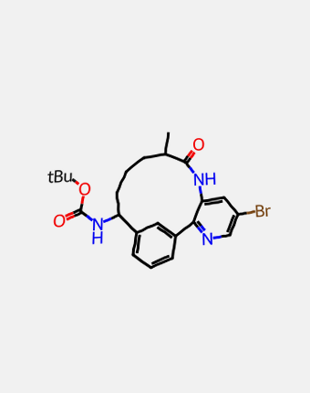 CC1CCCC(NC(=O)OC(C)(C)C)c2cccc(c2)-c2ncc(Br)cc2NC1=O